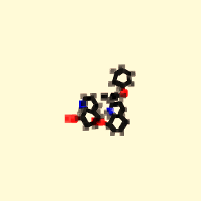 Oc1cccc2cccnc12.Oc1cccc2cccnc12.[AlH2][O]c1ccccc1